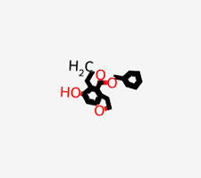 C=CCc1c(O)cc2c(c1C(=O)OCc1ccccc1)CCO2